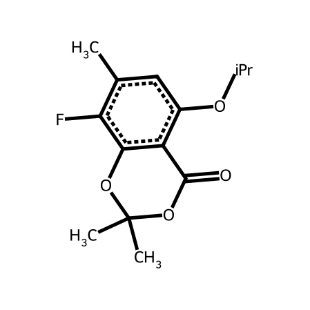 Cc1cc(OC(C)C)c2c(c1F)OC(C)(C)OC2=O